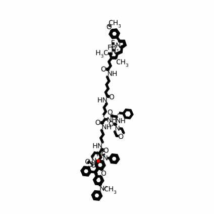 COc1ccc(-c2ccc3n2[B-](F)(F)[N+]2=C(C)C(CCC(=O)NCCCCCC(=O)NCCCC[C@H](NC(=O)[C@H](CC4CCCCC4)NC(=O)N4CCOCC4)C(=O)NCCCCNC(=O)C4CCN(S(=O)(=O)c5ccccc5-c5c6cc/c(=[N+](/C)c7ccccc7)cc-6oc6cc(N(C)c7ccccc7)ccc56)CC4)=C(C)C2=C3)cc1